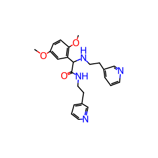 COc1ccc(OC)c(C(NCCc2cccnc2)C(=O)NCCc2cccnc2)c1